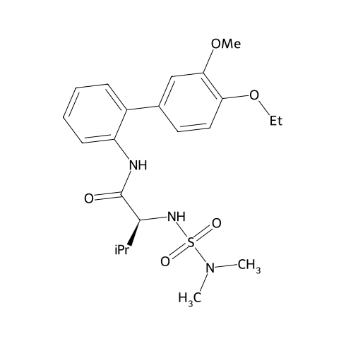 CCOc1ccc(-c2ccccc2NC(=O)[C@@H](NS(=O)(=O)N(C)C)C(C)C)cc1OC